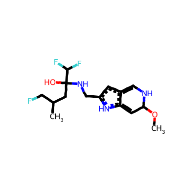 COC1C=c2[nH]c(CNC(O)(CC(C)CF)C(F)F)cc2=CN1